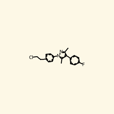 Cc1nn(-c2ccc(CCCl)cc2)c(C)c1-c1ccc(F)cc1